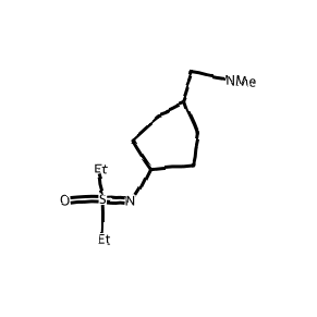 CCS(=O)(CC)=NC1CCC(CNC)CC1